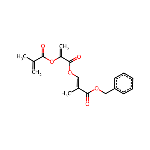 C=C(C)C(=O)OC(=C)C(=O)OC=C(C)C(=O)OCc1ccccc1